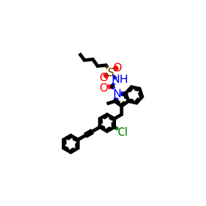 CCCCCS(=O)(=O)NC(=O)n1c(C)c(Cc2ccc(C#Cc3ccccc3)cc2Cl)c2ccccc21